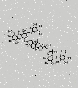 CC(C)(O)[C@@H](CC[C@](C)(O)[C@H]1CC[C@@]2(C)[C@@H]3CC=C4[C@@H](CC[C@H](O[C@@H]5O[C@H](CO[C@@H]6O[C@H](CO)[C@@H](O)[C@H](O)[C@H]6O)[C@@H](O)[C@H](O)[C@H]5O[C@@H]5O[C@H](CO)[C@@H](O)[C@H](O)[C@H]5O)C4(C)C)[C@]3(C)C(=O)C[C@]12C)O[C@@H]1O[C@H](CO[C@@H]2O[C@H](CO)[C@@H](O)[C@H](O)[C@H]2O)[C@@H](O)[C@H](O)[C@H]1O